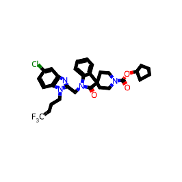 O=C(OC1CCCC1)N1CCC2(CC1)C(=O)N(Cc1nc3cc(Cl)ccc3n1CCCC(F)(F)F)c1ccccc12